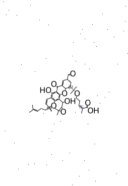 CC(C)=CCC[C@]1(C)C=Cc2c(O)c3c(c(C(O)C4OC4(C)C)c2O1)OC1C(=CC(C=O)C[C@@H]1C(C)(C)OCC/C=C(/C)C(=O)O)C3=O